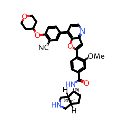 COc1cc(C(=O)N[C@@H]2CC[C@@H]3CNC[C@@H]32)ccc1-c1cc2nccc(-c3ccc(OC4CCOCC4)c(C#N)c3)c2o1